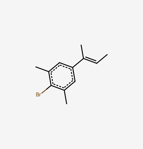 C/C=C(\C)c1cc(C)c(Br)c(C)c1